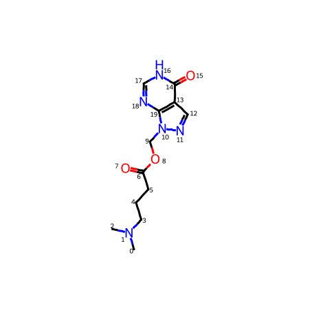 CN(C)CCCC(=O)OCn1ncc2c(=O)[nH]cnc21